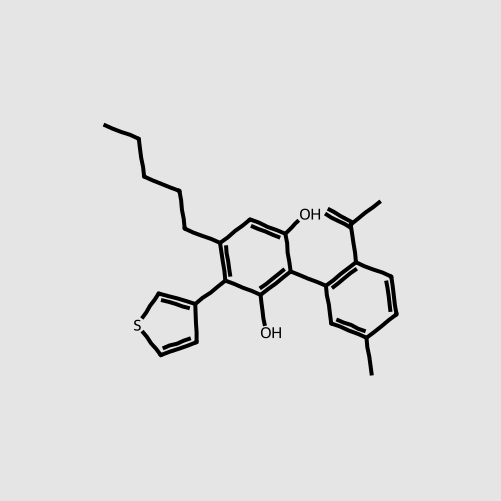 C=C(C)c1ccc(C)cc1-c1c(O)cc(CCCCC)c(-c2ccsc2)c1O